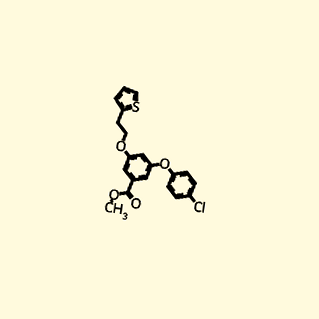 COC(=O)c1cc(OCCc2cccs2)cc(Oc2ccc(Cl)cc2)c1